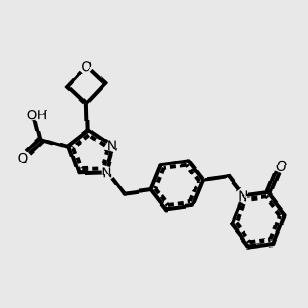 O=C(O)c1cn(Cc2ccc(Cn3ccccc3=O)cc2)nc1C1COC1